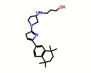 CC1(C)CCC(C)(C)c2cc(C3=CCC(N4CCC(NCCCO)C4)=N3)ccc21